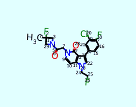 CC1(F)CN(C(=O)Cn2ccc3c(c(-c4ccc(F)c(Cl)c4)cn3CCF)c2=O)C1